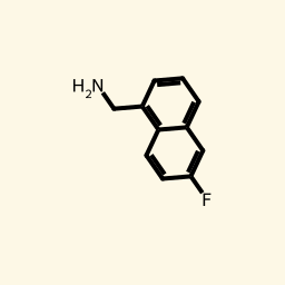 NCc1cccc2cc(F)ccc12